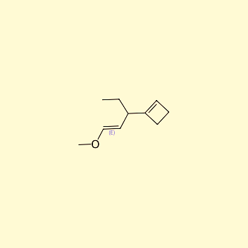 CCC(/C=C/OC)C1=CCC1